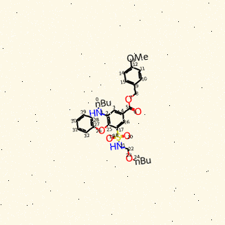 CCCCNc1cc(C(=O)OCc2ccc(OC)cc2)cc(S(=O)(=O)NCOCCCC)c1Oc1ccccc1